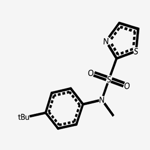 CN(c1ccc(C(C)(C)C)cc1)S(=O)(=O)c1nccs1